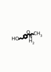 CCC[C@H](N)C(=O)c1ccc(CCCO)cc1